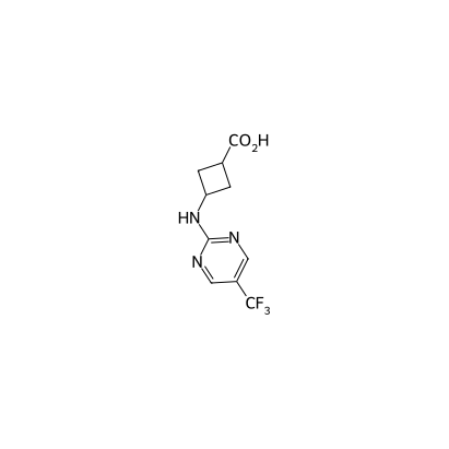 O=C(O)C1CC(Nc2ncc(C(F)(F)F)cn2)C1